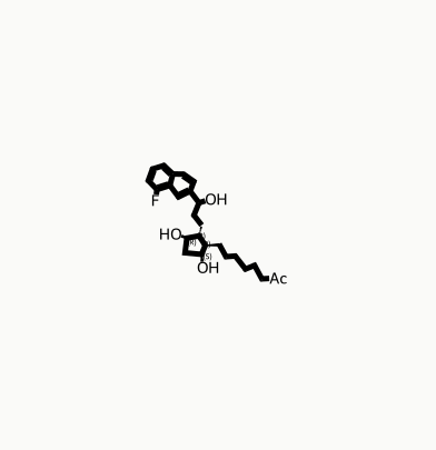 CC(=O)CCCCCC[C@@H]1[C@@H](CCC(O)c2ccc3cccc(F)c3c2)[C@H](O)C[C@@H]1O